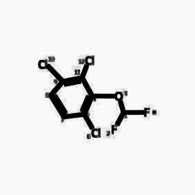 FC(F)Oc1c(Cl)ccc(Cl)c1Cl